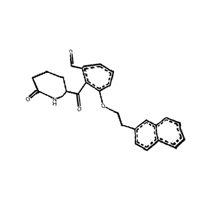 O=Cc1cccc(OCCc2ccc3ccccc3c2)c1C(=O)C1CCCC(=O)N1